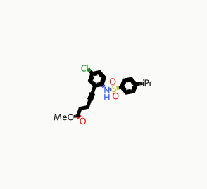 COC(=O)CCC#Cc1cc(Cl)ccc1NS(=O)(=O)c1ccc(C(C)C)cc1